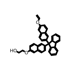 C=COc1ccc2cc(C3(c4ccc5cc(OCCO)ccc5c4)c4ccccc4-c4ccccc43)ccc2c1